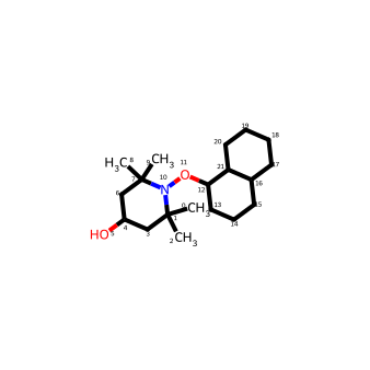 CC1(C)CC(O)CC(C)(C)N1OC1CCCC2CCCCC21